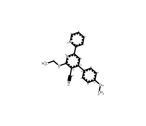 CCOc1nc(-c2ccccn2)cc(-c2ccc(OC)cc2)c1C#N